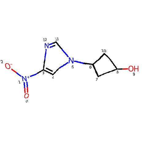 O=[N+]([O-])c1cn(C2CC(O)C2)cn1